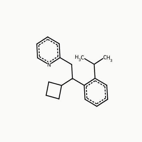 CC(C)c1ccccc1[C](Cc1ccccn1)C1CCC1